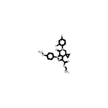 CCOC(=O)c1nn(-c2ccc(OC)cc2)c2c1C1(CC1)CN(c1ccc(I)cc1F)C2=O